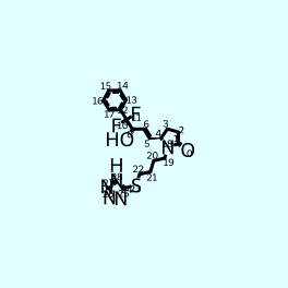 O=C1CC[C@H](C=CC(O)C(F)(F)c2ccccc2)N1CCCCSc1nnn[nH]1